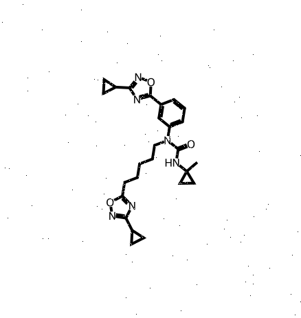 CC1(NC(=O)N(CCCCCc2nc(C3CC3)no2)c2cccc(-c3nc(C4CC4)no3)c2)CC1